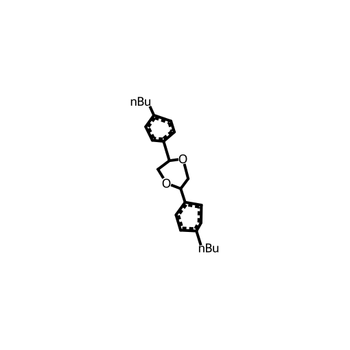 CCCCc1ccc(C2COC(c3ccc(CCCC)cc3)CO2)cc1